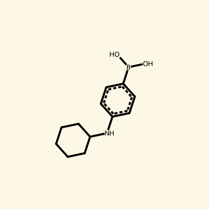 OB(O)c1ccc(NC2CCCCC2)cc1